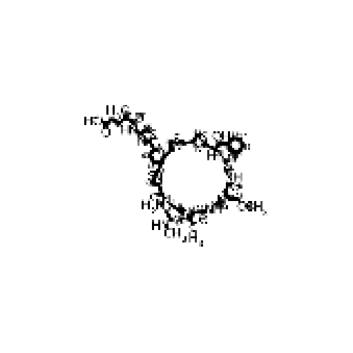 CNC(=O)C[C@H]1c2nc(c(C)s2)C(=O)Nc2nc(c(COC)s2)C(=O)NCC(=O)N[C@@H]([C@@H](O)c2ccccc2)c2nc(cs2)-c2nc(cs2)-c2nc(-c3nc(NC(=O)[C@H](C)CCC(=O)O)cs3)ccc2-c2nc(cs2)C(=O)N1N